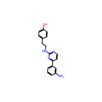 Nc1cccc(-c2ccnc(NCCc3ccc(O)cc3)n2)c1